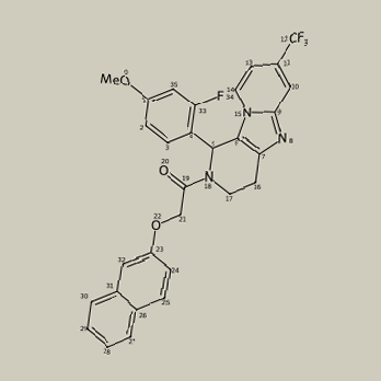 COc1ccc(C2c3c(nc4cc(C(F)(F)F)ccn34)CCN2C(=O)COc2ccc3ccccc3c2)c(F)c1